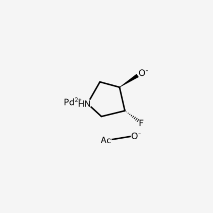 CC(=O)[O-].[O-][C@@H]1CNC[C@H]1F.[Pd+2]